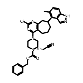 Cc1ccc2[nH]ncc2c1C1CCCc2c(nc(Cl)nc2N2CCN(C(=O)OCc3ccccc3)[C@@H](CC#N)C2)C1